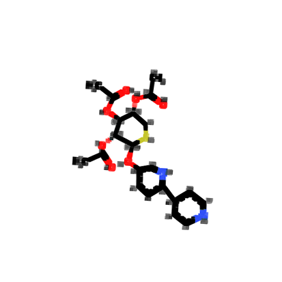 CC(=O)O[C@@H]1[C@@H](OC(C)=O)[C@H](OC(C)=O)CS[C@H]1Oc1ccc(-c2ccncc2)nc1